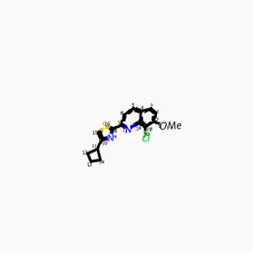 COc1ccc2[c]cc(-c3nc(C4CCC4)cs3)nc2c1Cl